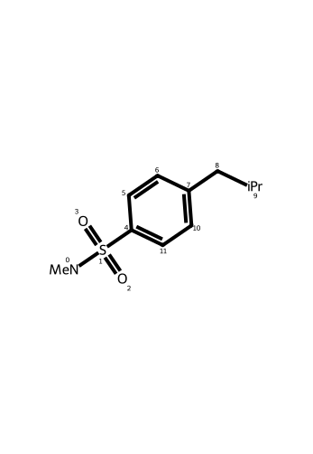 CNS(=O)(=O)c1ccc(CC(C)C)cc1